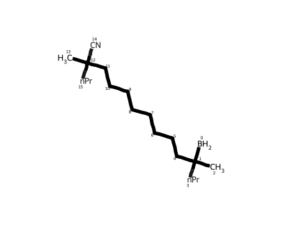 BC(C)(CCC)CCCCCCCCC(C)(C#N)CCC